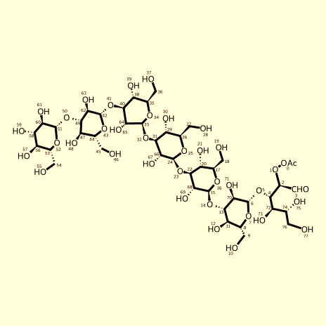 CC(=O)OO[C@@H](C=O)[C@@H](O[C@@H]1O[C@H](CO)[C@@H](O)[C@H](O[C@@H]2O[C@H](CO)[C@@H](O)[C@H](O[C@@H]3O[C@H](CO)[C@@H](O)[C@H](O[C@@H]4O[C@H](CO)[C@@H](O)[C@H](O[C@@H]5O[C@H](CO)[C@@H](O)[C@H](O[C@@H]6O[C@H](CO)[C@@H](O)[C@H](O)[C@H]6O)[C@H]5O)[C@H]4O)[C@H]3O)[C@H]2O)[C@H]1O)[C@H](O)[C@H](O)CO